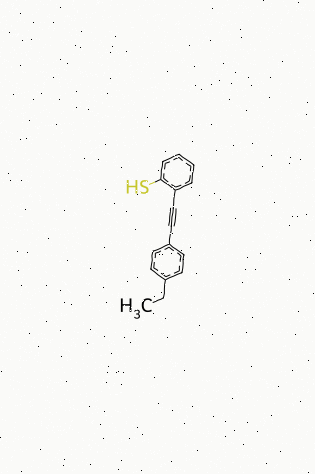 CCc1ccc(C#Cc2ccccc2S)cc1